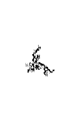 CCNC(O)Cn1c(=O)n(CC(O)CN(C)CCCN(C)C)c(=O)n(CC(O)CN(CCCN(C)C)CC(O)CC)c1=O